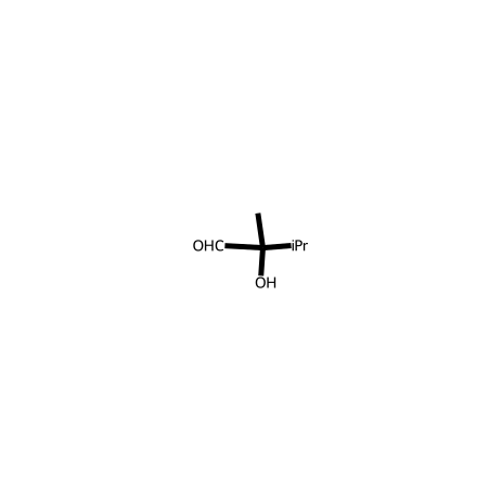 [CH2]C(C)C(C)(O)C=O